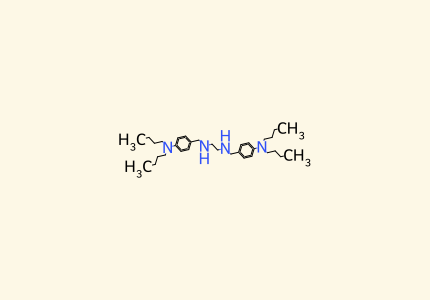 CCCCN(CCCC)c1ccc(CNCCNCc2ccc(N(CCCC)CCCC)cc2)cc1